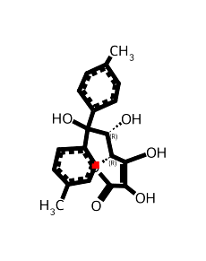 Cc1ccc(C(O)(c2ccc(C)cc2)[C@H](O)[C@H]2OC(=O)C(O)=C2O)cc1